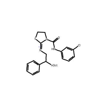 CCCCCCCCC(C/N=C1/SCCN1C(=S)Nc1cccc(Cl)c1)c1ccccc1